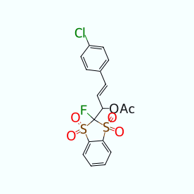 CC(=O)OC(/C=C/c1ccc(Cl)cc1)C1(F)S(=O)(=O)c2ccccc2S1(=O)=O